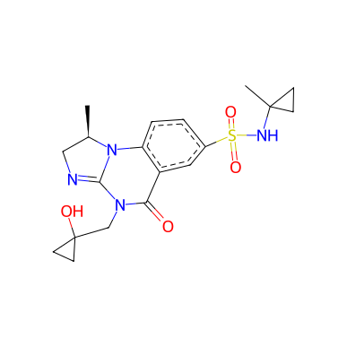 C[C@@H]1CN=C2N(CC3(O)CC3)C(=O)c3cc(S(=O)(=O)NC4(C)CC4)ccc3N21